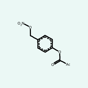 CC(=O)C(=O)Oc1ccc(CO[N+](=O)[O-])cc1